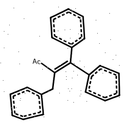 CC(=O)C(Cc1ccccc1)=C(c1ccccc1)c1ccccc1